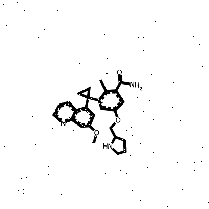 COc1cc(C2(c3cc(OCC4CCCN4)cc(C(N)=O)c3C)CC2)c2cccnc2c1